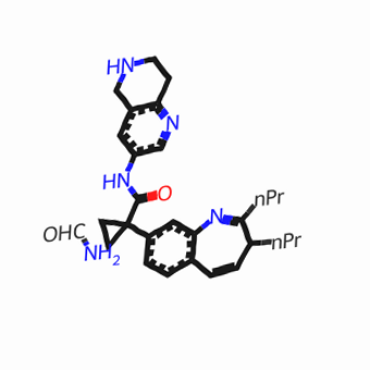 CCCC1=Nc2cc(C3(C(=O)Nc4cnc5c(c4)CNCC5)CC3)ccc2C=CC1CCC.NC=O